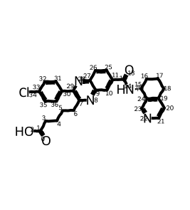 O=C(O)CCCCc1nc2cc(C(=O)N[C@@H]3CCCc4ccncc43)ccc2nc1-c1ccc(Cl)cc1